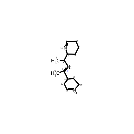 C/C(=N\C(C)C1CCCC=N1)C1CC=NCC1